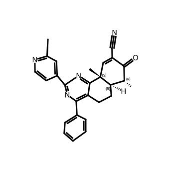 Cc1cc(-c2nc(-c3ccccc3)c3c(n2)[C@]2(C)C=C(C#N)C(=O)[C@H](C)[C@H]2CC3)ccn1